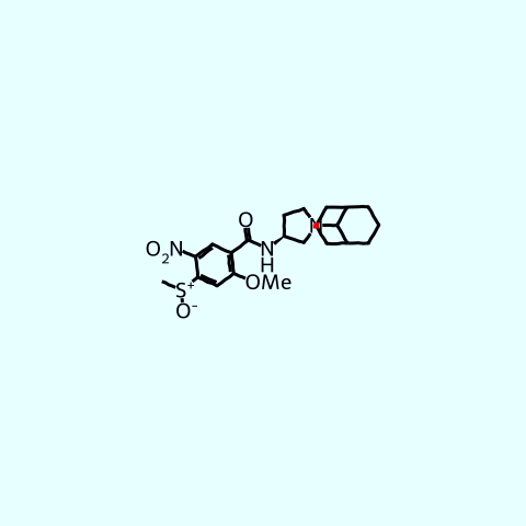 COc1cc([S+](C)[O-])c([N+](=O)[O-])cc1C(=O)N[C@H]1CCN(C2C3CCCC2CCC3)C1